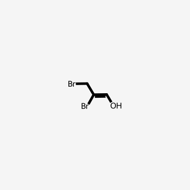 OC=C(Br)CBr